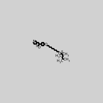 CC(C)CCC(C)(C)C(=S)OCCCCCCCCCCOc1ccc(-c2cc3cnccc3sc2=O)cc1